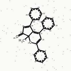 CC12OC(c3ccccc3)=CC(c3ccccc3)=C1C(c1ccccc1)=CC2=O